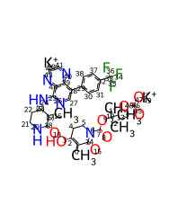 CC1=C(O)CCN(C(=O)OC(C)(C)C)C1=O.C[C@@H]1C(=O)NCC[C@@H]1Nc1ncc(-c2ccc(C(F)(F)F)cc2)c2nccnc12.O=C([O-])[O-].[K+].[K+]